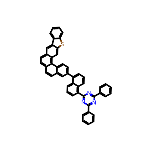 c1ccc(-c2nc(-c3ccccc3)nc(-c3cccc4c(-c5ccc6c(ccc7ccc8cc9c(cc8c76)sc6ccccc69)c5)cccc34)n2)cc1